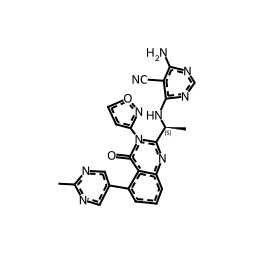 Cc1ncc(-c2cccc3nc([C@H](C)Nc4ncnc(N)c4C#N)n(-c4ccon4)c(=O)c23)cn1